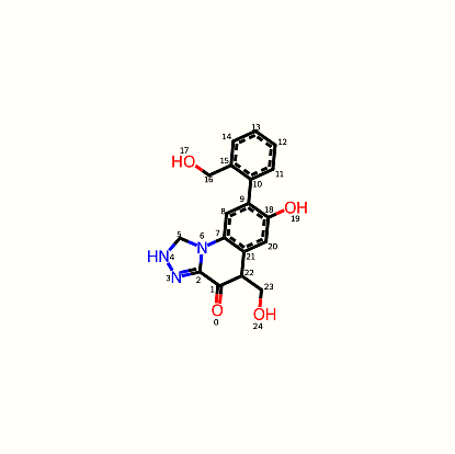 O=C1C2=NNCN2c2cc(-c3ccccc3CO)c(O)cc2C1CO